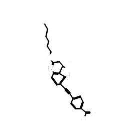 CCCCCCCSC1=Nc2ccc(C#Cc3ccc(C(=O)O)cc3)cc2C(C)(C)C1